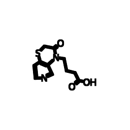 O=C(O)CCCN1C(=O)CSc2ccncc21